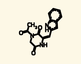 CC(=O)N1CC(=O)N/C(=C/c2cc3ccccc3[nH]2)C1=O